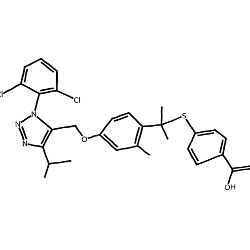 Cc1cc(OCc2c(C(C)C)nnn2-c2c(Cl)cccc2Cl)ccc1C(C)(C)Sc1ccc(C(=O)O)cc1